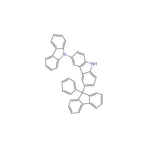 c1ccc(C2(c3ccc4[nH]c5ccc(-n6c7ccccc7c7ccccc76)cc5c4c3)c3ccccc3-c3ccccc32)cc1